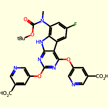 CN(C(=O)OC(C)(C)C)c1cc(F)cc2c1[nH]c1nc(Oc3cncc(C(=O)O)c3)nc(Oc3cncc(C(=O)O)c3)c12